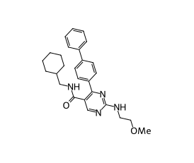 COCCNc1ncc(C(=O)NCC2CCCCC2)c(-c2ccc(-c3ccccc3)cc2)n1